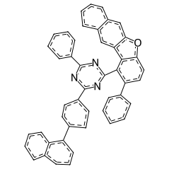 c1ccc(-c2nc(-c3ccc(-c4cccc5ccccc45)cc3)nc(-c3c(-c4ccccc4)ccc4oc5cc6ccccc6cc5c34)n2)cc1